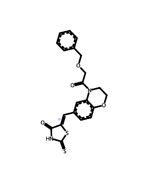 O=C1NC(=S)S/C1=C\c1ccc2c(c1)N(C(=O)COCc1ccccc1)CCO2